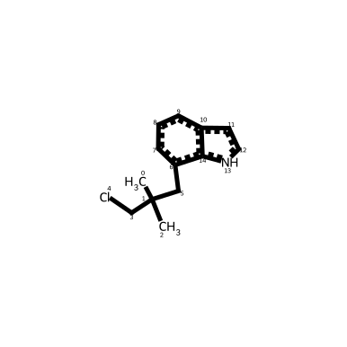 CC(C)(CCl)Cc1cccc2cc[nH]c12